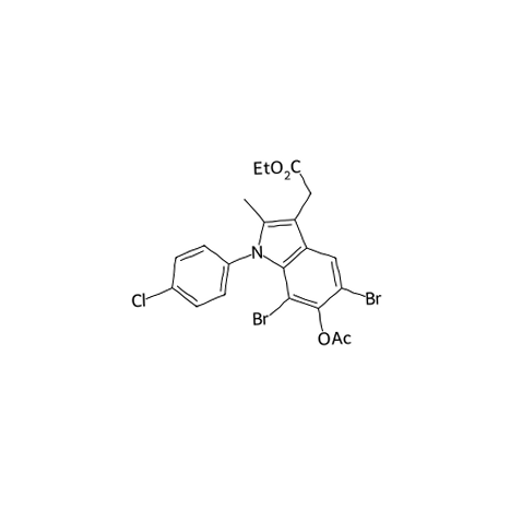 CCOC(=O)Cc1c(C)n(-c2ccc(Cl)cc2)c2c(Br)c(OC(C)=O)c(Br)cc12